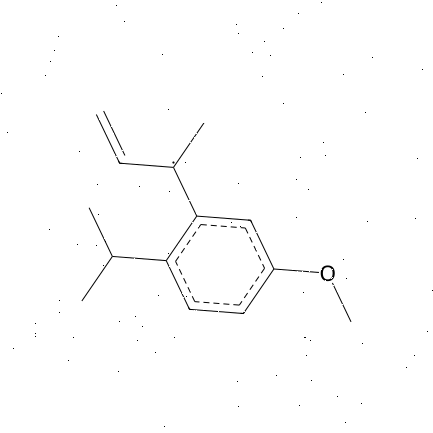 C=C[C](C)c1cc(OC)ccc1C(C)C